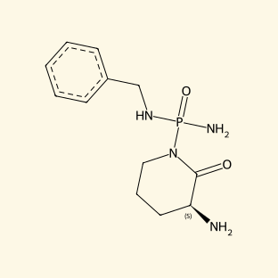 N[C@H]1CCCN(P(N)(=O)NCc2ccccc2)C1=O